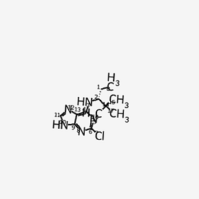 CC[C@@H](Nc1nc(Cl)nc2[nH]cnc12)C(C)(C)C